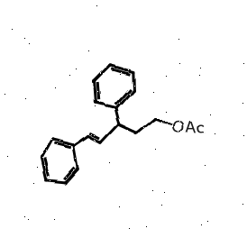 CC(=O)OCCC(/C=C/c1ccccc1)c1ccccc1